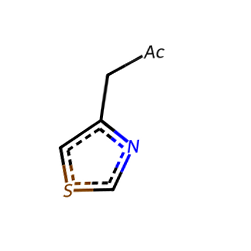 CC(=O)Cc1cscn1